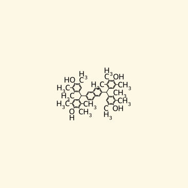 Cc1cc(C(c2ccc3cc(C(c4cc(C)c(O)c(C)c4C)c4cc(C)c(O)c(C)c4C)ccc3c2)c2cc(C)c(O)c(C)c2C)c(C)c(C)c1O